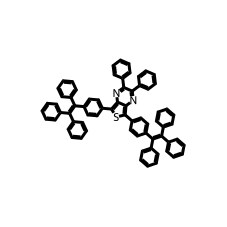 c1ccc(C(=C(c2ccccc2)c2ccc(-c3sc(-c4ccc(C(=C(c5ccccc5)c5ccccc5)c5ccccc5)cc4)c4nc(-c5ccccc5)c(-c5ccccc5)nc34)cc2)c2ccccc2)cc1